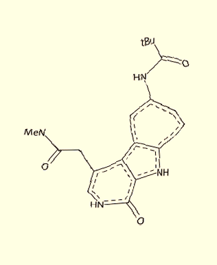 CNC(=O)Cc1c[nH]c(=O)c2[nH]c3ccc(NC(=O)C(C)(C)C)cc3c12